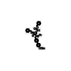 COc1ccc(-c2ccc(CN(OC(C)C)[C@H](CCNC(=O)OCc3ccccc3)C(=O)NOCc3ccccc3)cc2)cc1